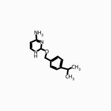 CC(C)c1ccc(COC2N=C(N)C=CN2)cc1